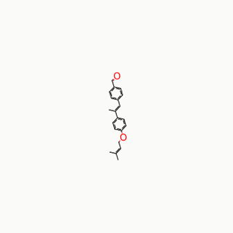 CC(C)=CCOc1ccc(/C(C)=C/c2ccc(C=O)cc2)cc1